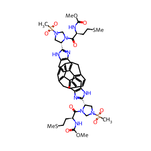 COC(=O)N[C@@H](CCSC)C(=O)N1CN(S(C)(=O)=O)C[C@H]1c1nc2cc(-c3cc4ccc3CCc3ccc(c(-c5ccc6[nH]c([C@@H]7CN(S(C)(=O)=O)CN7C(=O)[C@H](CCSC)NC(=O)OC)nc6c5)c3)CC4)ccc2[nH]1